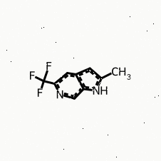 Cc1cc2cc(C(F)(F)F)ncc2[nH]1